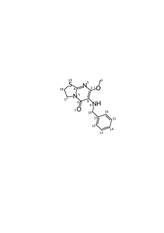 COc1nc2n(c(=O)c1NCc1ccccc1)CCS2